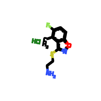 Cc1c(F)ccc2onc(SCCN)c12.Cl